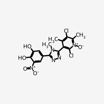 Cc1c(Cl)c(C)[n+]([O-])c(Cl)c1-c1nnc(-c2cc(O)c(O)c([N+](=O)[O-])c2)n1C